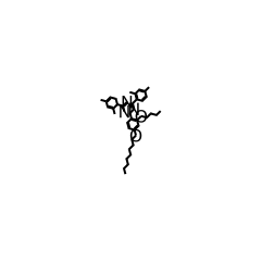 CCCCCCCCOc1ccc(-c2nc(-c3ccc(C)cc3C)nc(C3CC=C(C)C=C3C)n2)c(OCCCC)c1